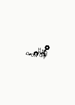 COCCOc1ccc(NC(=O)c2nc(-c3ccccc3)oc2C(F)(F)F)cn1